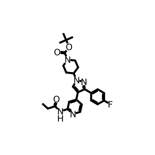 CCC(=O)Nc1cc(-c2cn(C3CCN(C(=O)OC(C)(C)C)CC3)nc2-c2ccc(F)cc2)ccn1